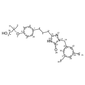 CC(C)(Oc1ccc(CCCc2nn(Cc3cc(F)cc(F)c3)c(=O)[nH]2)cc1)C(=O)O